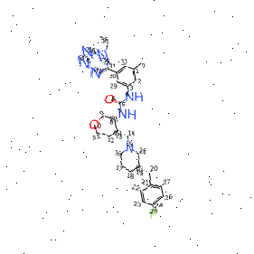 Cc1cc(NC(=O)N[C@H]2COCC[C@H]2CN2CCC[C@@H](Cc3ccc(F)cc3)C2)cc(-c2nnnn2C)c1